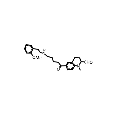 COc1ccccc1CCNCCCCC(=O)c1ccc2c(c1)CCC(C=O)N2C